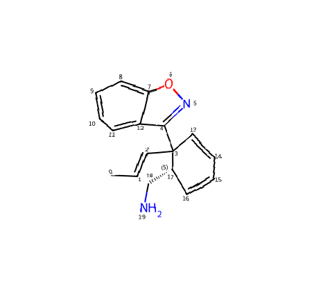 CC=CC1(c2noc3ccccc23)C=CC=C[C@@H]1CN